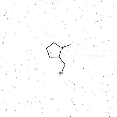 CN1CCCC1C[NH]